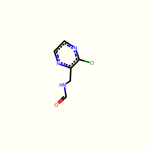 O=CNCc1nccnc1Cl